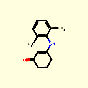 Cc1cccc(C)c1NC1=CC(=O)CCC1